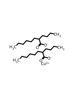 CCCCCCC(CCCC)C(=O)[O-].CCCCCCC(CCCC)C(=O)[O-].[Cu+2]